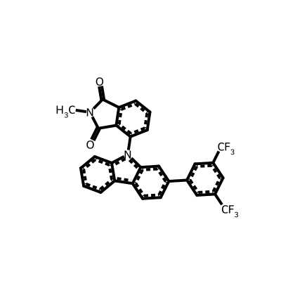 CN1C(=O)c2cccc(-n3c4ccccc4c4ccc(-c5cc(C(F)(F)F)cc(C(F)(F)F)c5)cc43)c2C1=O